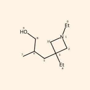 CCN1CC(CC)(CC(C)CO)C1